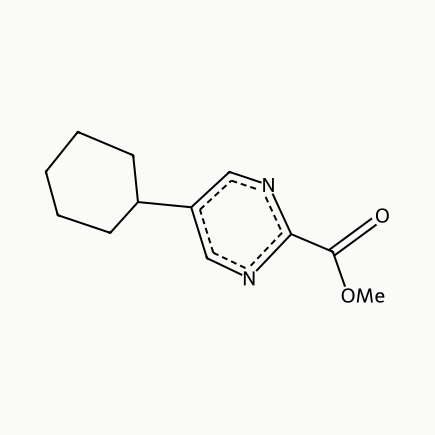 COC(=O)c1ncc(C2CCCCC2)cn1